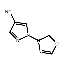 N#Cc1cnn(N2COC=N2)c1